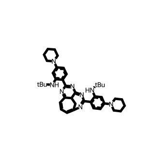 CC(C)(C)Nc1cc(N2CCCCC2)ccc1C1=NC2=CC=CC3=NC(c4ccc(N5CCCCC5)cc4NC(C)(C)C)=NC(=N1)C3C2